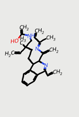 C=CC1=NC(C(=C)/N=C(\C)C=C)C(CCC(C)(C=C)CNC(=C)O)c2ccccc21